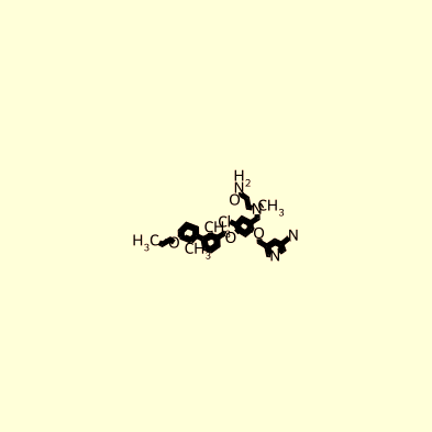 CC[CH]Oc1cccc(-c2cccc(COc3cc(OCc4cncc(C#N)c4)c(CN(C)CCC(N)=O)cc3Cl)c2C)c1C